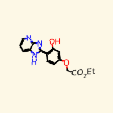 CCOC(=O)COc1ccc(-c2nc3ncccc3[nH]2)c(O)c1